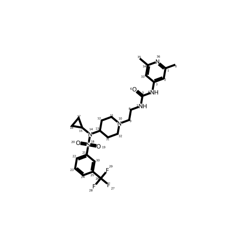 Cc1cc(NC(=O)NCCN2CCC(N(C3CC3)S(=O)(=O)c3cccc(C(F)(F)F)c3)CC2)cc(C)n1